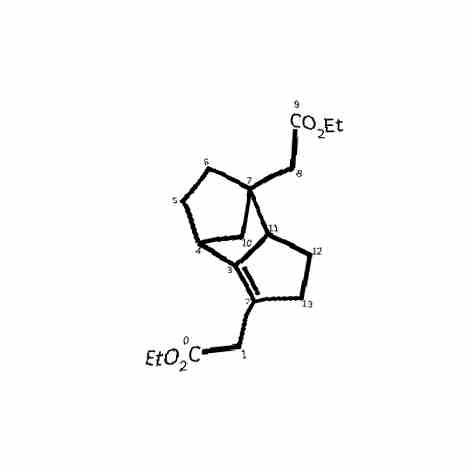 CCOC(=O)CC1=C2C3CCC(CC(=O)OCC)(C3)C2CC1